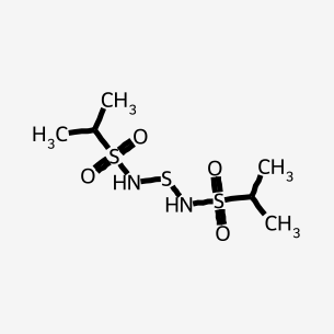 CC(C)S(=O)(=O)NSNS(=O)(=O)C(C)C